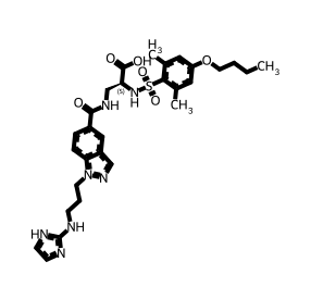 CCCCOc1cc(C)c(S(=O)(=O)N[C@@H](CNC(=O)c2ccc3c(cnn3CCCNc3ncc[nH]3)c2)C(=O)O)c(C)c1